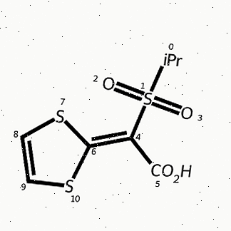 CC(C)S(=O)(=O)C(C(=O)O)=C1SC=CS1